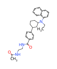 CCN(c1cccc2ccccc12)C1CCCC(c2ccc(C(=O)NCCNC(C)=O)cc2)C1